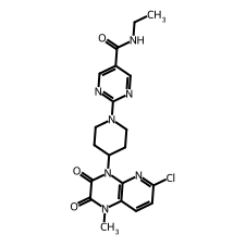 CCNC(=O)c1cnc(N2CCC(n3c(=O)c(=O)n(C)c4ccc(Cl)nc43)CC2)nc1